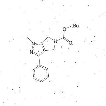 Cn1nc(-c2ccccc2)c2c1CN(C(=O)OC(C)(C)C)C2